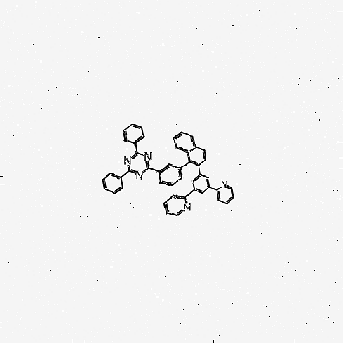 c1ccc(-c2nc(-c3ccccc3)nc(-c3cccc(-c4c(-c5cc(-c6ccccn6)cc(-c6ccccn6)c5)ccc5ccccc45)c3)n2)cc1